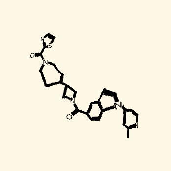 Cc1cc(-n2ccc3cc(C(=O)N4CC(C5CCN(C(=O)c6nccs6)CC5)C4)ccc32)ccn1